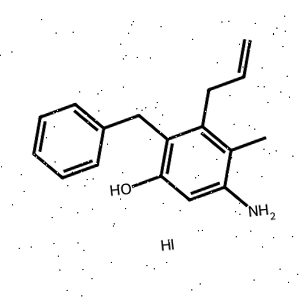 C=CCc1c(C)c(N)cc(O)c1Cc1ccccc1.I